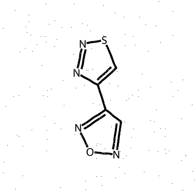 c1snnc1-c1cnon1